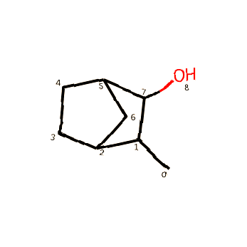 CC1C2CCC(C2)C1O